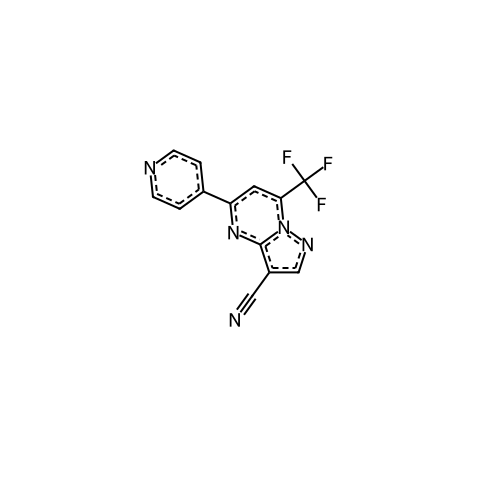 N#Cc1cnn2c(C(F)(F)F)cc(-c3ccncc3)nc12